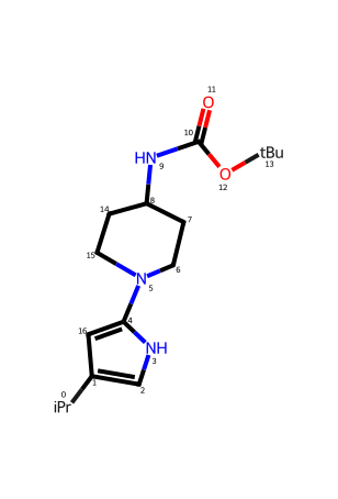 CC(C)c1c[nH]c(N2CCC(NC(=O)OC(C)(C)C)CC2)c1